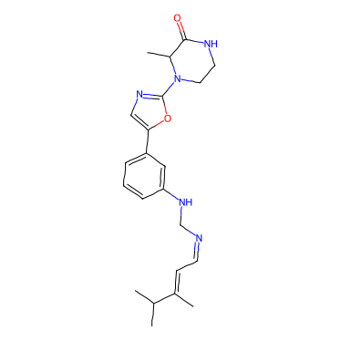 C/C(=C\C=N/CNc1cccc(-c2cnc(N3CCNC(=O)C3C)o2)c1)C(C)C